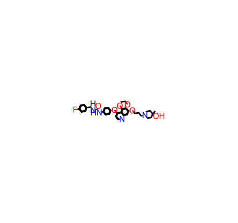 CC1(O)CCN(CCCOc2cc3nccc(Oc4ccc(NC(=O)NCc5ccc(F)cc5)cc4)c3c3c2OCCO3)CC1